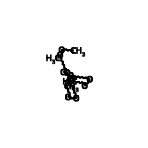 CCCCCC1OC1COC(C)CCCCCCCC(=O)OCC(COC(=O)CCCCCCCC1OC1CC1OC1CCCCC)OC(=O)CCCCCCCC1OC1CC1OC1CCCCC